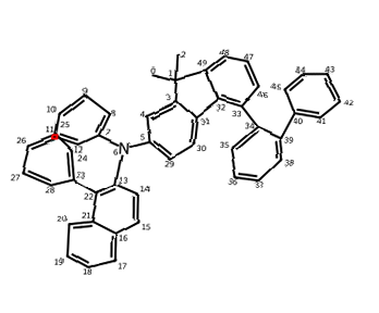 CC1(C)c2cc(N(c3ccccc3)c3ccc4ccccc4c3-c3ccccc3)ccc2-c2c(-c3ccccc3-c3ccccc3)cccc21